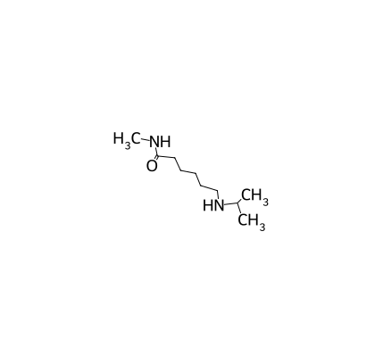 CNC(=O)CCCCCNC(C)C